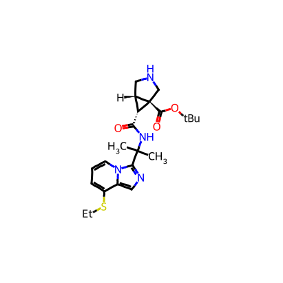 CCSc1cccn2c(C(C)(C)NC(=O)[C@@H]3[C@@H]4CNC[C@]34C(=O)OC(C)(C)C)ncc12